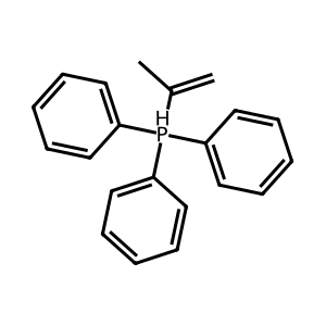 C=C(C)[PH](c1ccccc1)(c1ccccc1)c1ccccc1